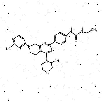 Cc1nccc(N2CCc3c(nc(-c4ccc(NC(=O)NC(C)I)cc4)nc3N3CCOCC3C)C2)n1